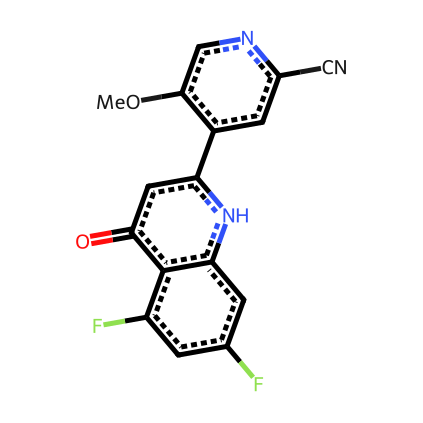 COc1cnc(C#N)cc1-c1cc(=O)c2c(F)cc(F)cc2[nH]1